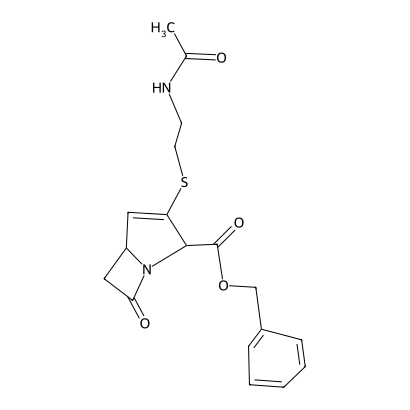 CC(=O)NCCSC1=CC2CC(=O)N2C1C(=O)OCc1ccccc1